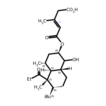 CCC(=O)[C@]1(C)[C@H]2[C@H](C)C[C@@H](OC(=O)/C=C(\C)CC(=O)O)C(O)[C@@H]2CC[C@@H]1[C@H](C)CC